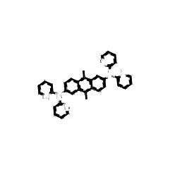 Cc1c2ccc(N(c3ccccn3)c3ccccn3)cc2c(C)c2ccc(N(c3ccccn3)c3ccccn3)cc12